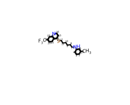 Cc1cccc(NCCCCCCSc2ccnc3cc(C(F)(F)F)ccc23)c1